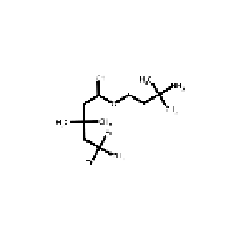 CCC(C)(CC(C)(C)CC(C)OCCC(C)(C)N)C(C)=O